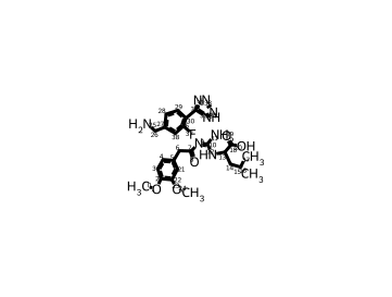 COc1ccc(CC(=O)N=C(N)NC(CC(C)C)C(=O)O)cc1OC.NCc1ccc(-c2nnn[nH]2)c(F)c1